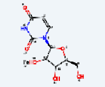 O=c1ccn([C@H]2O[C@@H](CO)C(O)C2O)c(=O)[nH]1.[Fe]